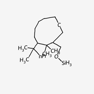 CCCC(C)(C)C1CCCCCCC[C](CO[SiH3])C1(C)C